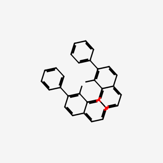 c1ccc(-c2ccc3ccccc3c2Sc2c(-c3ccccc3)ccc3ccccc23)cc1